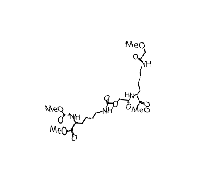 COCC(=O)NCCCCC(NC(=O)COC(=O)NCCCCC(NC(=O)OC)C(=O)OC)C(=O)OC